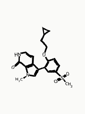 Cn1cc(-c2cc(S(C)(=O)=O)ccc2OCCC2CC2)c2cc[nH]c(=O)c21